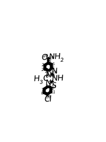 Cn1c(Nc2nc3ccc(Cl)cc3s2)nc2cc(C(N)=O)ccc21